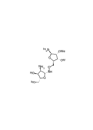 B[C@@H]1O[C@H](COB[C@@H]2O[C@H](CO)[C@@H](O)[C@H]2N)[C@@H](O)[C@H]1OC